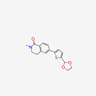 CN1CCc2cc(-c3ccc(C4OCCO4)s3)ccc2C1=O